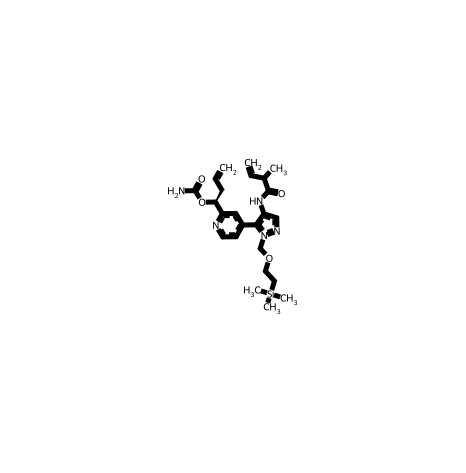 C=CC[C@H](OC(N)=O)c1cc(-c2c(NC(=O)C(C)C=C)cnn2COCC[Si](C)(C)C)ccn1